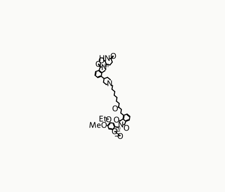 CCOc1cc([C@@H](CS(C)(=O)=O)N2C(=O)c3cccc(CCC(=O)CCCCCCCN4CCC(c5cccc6c5CN([C@H]5CCC(=O)NC5=O)C6=O)CC4)c3C2=O)ccc1OC